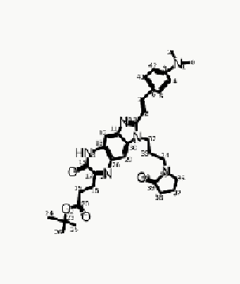 CN(C)c1ccc(/C=C/c2nc3cc4[nH]c(=O)c(CCC(=O)OC(C)(C)C)nc4cc3n2CCCN2CCCC2=O)cc1